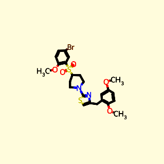 COc1ccc(OC)c(Cc2csc(N3CCC(S(=O)(=O)c4cc(Br)ccc4OC)CC3)n2)c1